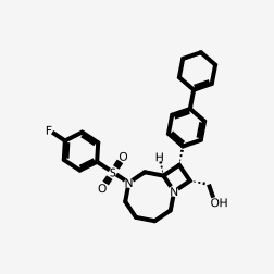 O=S(=O)(c1ccc(F)cc1)N1CCCCN2[C@@H](CO)[C@@H](c3ccc(C4=CCCCC4)cc3)[C@@H]2C1